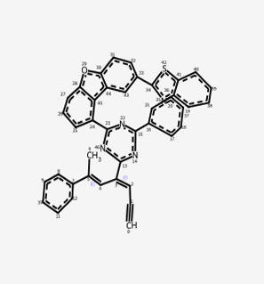 C#C/C=C(\C=C(/C)c1ccccc1)c1nc(-c2ccccc2)nc(-c2cccc3oc4ccc(-c5nc6ccccc6s5)cc4c23)n1